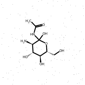 CC(=O)NC1(O)O[C@H](CO)[C@@H](O)[C@H](O)[C@H]1N